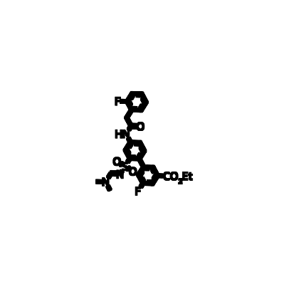 CCOC(=O)c1cc(F)cc(-c2ccc(NC(=O)Cc3ccccc3F)cc2S(=O)(=O)N=CN(C)C)c1